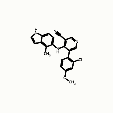 COc1ccc(-c2cncc(C#N)c2Nc2ccc3[nH]ccc3c2C)c(Cl)c1